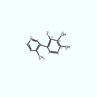 Cc1ccncc1-c1ccc(O)c(O)c1F